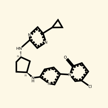 O=c1ccc(Cl)cn1-c1ccc(N[C@H]2CC[C@H](Nc3cnc(C4CC4)cn3)C2)nc1